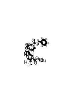 C[C@H]1Cn2ncc(N3CCN(C(=O)OCc4ccccc4)CS3(=O)=O)c2CN1C(=O)OC(C)(C)C